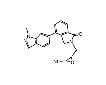 Cn1ncc2ccc(-c3cccc4c3CN(C[C@H]3OC3C#N)C4=O)cc21